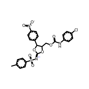 Cc1ccc(S(=O)(=O)/N=C2/OC(COC(=O)Nc3ccc(Cl)cc3)C(c3ccc([N+](=O)[O-])cc3)O2)cc1